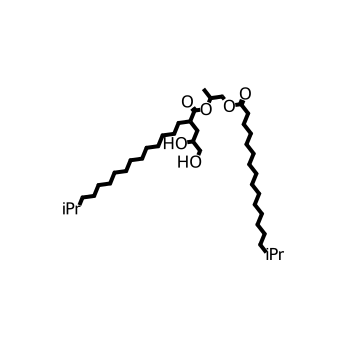 CC(C)CCCCCCCCCCCCCCC(=O)OCC(C)OC(=O)C(CCCCCCCCCCCCCC(C)C)CC(O)CO